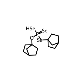 [Se]=P([SeH])(OC12CCC(CC1)C2)[Se]C12CCC(CC1)C2